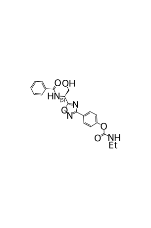 CCNC(=O)Oc1ccc(-c2noc([C@H](CO)NC(=O)c3ccccc3)n2)cc1